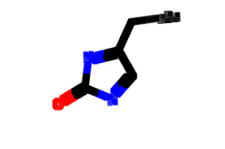 CCCCCC1=NC(=O)N=C1